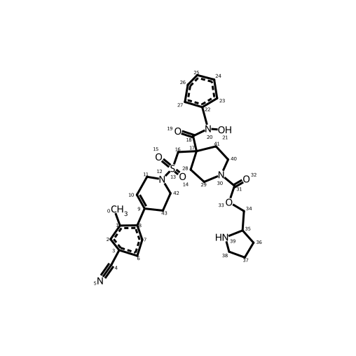 Cc1cc(C#N)ccc1C1=CCN(S(=O)(=O)CC2(C(=O)N(O)c3ccccc3)CCN(C(=O)OCC3CCCN3)CC2)CC1